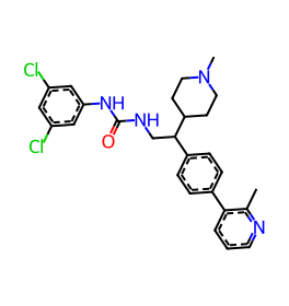 Cc1ncccc1-c1ccc(C(CNC(=O)Nc2cc(Cl)cc(Cl)c2)C2CCN(C)CC2)cc1